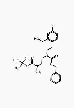 CN(CCN(CCc1ccc(F)cc1CO)C(=O)OCc1ccccc1)C(=O)OC(C)(C)C